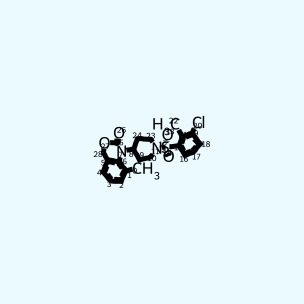 Cc1cccc2c1N(C1CCN(S(=O)(=O)c3cccc(Cl)c3C)CC1)C(=O)OC2